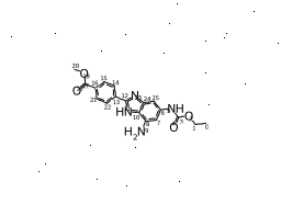 CCOC(=O)Nc1cc(N)c2[nH]c(-c3ccc(C(=O)OC)cc3)nc2c1